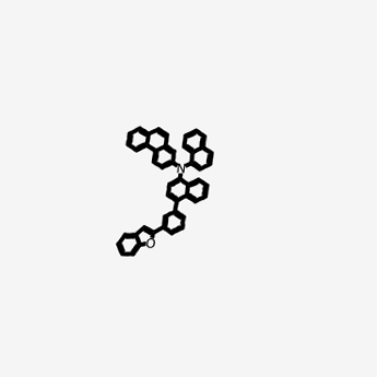 c1cc(-c2cc3ccccc3o2)cc(-c2ccc(N(c3ccc4c(ccc5ccccc54)c3)c3cccc4ccccc34)c3ccccc23)c1